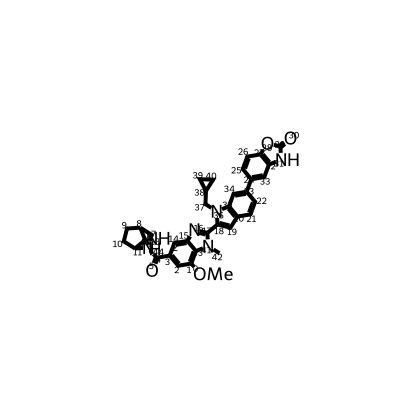 COc1cc(C(=O)N2CC3CCC2[C@@H]3N)cc2nc(-c3cc4ccc(-c5ccc6oc(=O)[nH]c6c5)cc4n3CC3CC3)n(C)c12